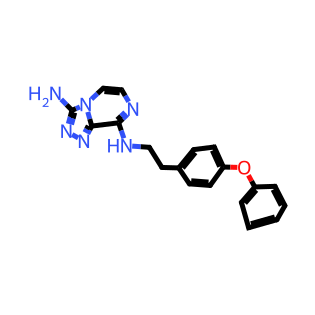 Nc1nnc2c(NCCc3ccc(Oc4ccccc4)cc3)nccn12